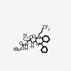 C[C@H](NC(=O)OC(C)(C)C)C(=O)NC1N=C(c2ccccc2)c2ccccc2N(CCCC(F)(F)F)C1=O